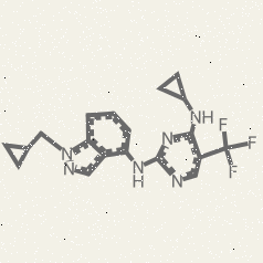 FC(F)(F)c1cnc(Nc2cccc3c2cnn3CC2CC2)nc1NC1CC1